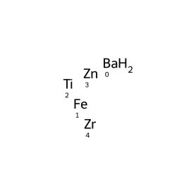 [BaH2].[Fe].[Ti].[Zn].[Zr]